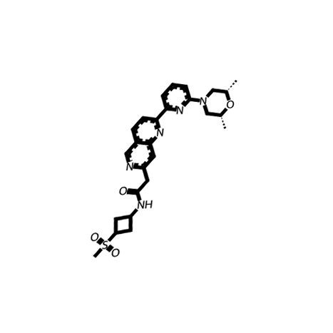 C[C@@H]1CN(c2cccc(-c3ccc4cnc(CC(=O)NC5CC(S(C)(=O)=O)C5)cc4n3)n2)C[C@H](C)O1